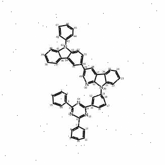 c1ccc(-c2nc(-c3ccccc3)nc(-c3cccc(-n4c5ccccc5c5cc(-c6ccc7c(c6)c6ccccc6n7-c6ccccc6)cnc54)c3)n2)cc1